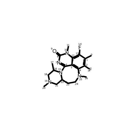 Cc1c(F)c2c3c(nc(=O)n(C)c3c1F)N1C(C)CN(C)CC1CCN2C